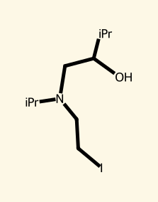 CC(C)C(O)CN(CCI)C(C)C